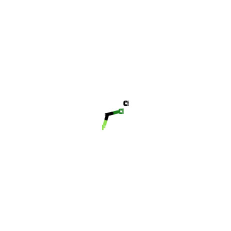 F[C]Cl.[C]